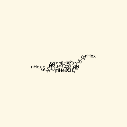 CCCCCCc1ccc(-c2ccc(-c3cc(F)c(-c4cc5c(s4)-c4cc6c(cc4[Si]5(C)CCCCCC)-c4sc(-c5c(F)cc(-c7ccc(-c8ccc(CCCCCC)s8)s7)c7nsnc57)cc4[Si]6(CCCCCC)CCCCCC)c4nsnc34)s2)s1